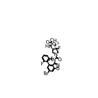 CS(=O)(=O)N[C@@H]1CN(C(=O)Nc2noc3cc(Br)cc(-c4c(F)cccc4F)c23)CC1(F)F